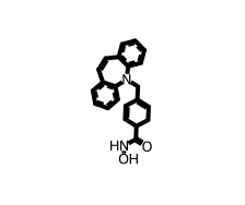 O=C(NO)C1C=CC(CN2c3ccccc3C=Cc3ccccc32)=CC1